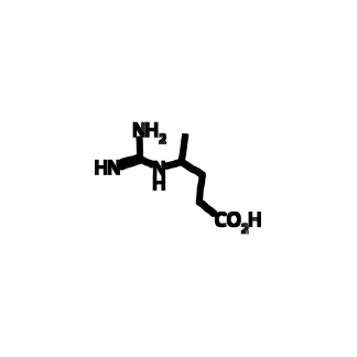 CC(CCC(=O)O)NC(=N)N